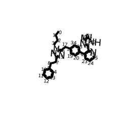 CCCCn1nc(CCc2ccccc2)nc1Cc1ccc(-c2cccnc2-c2nnn[nH]2)cc1